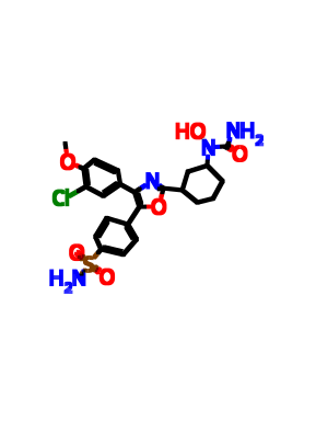 COc1ccc(-c2nc(C3CCCC(N(O)C(N)=O)C3)oc2-c2ccc(S(N)(=O)=O)cc2)cc1Cl